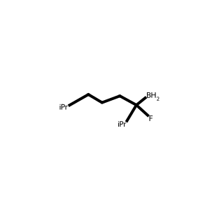 BC(F)(CCCC(C)C)C(C)C